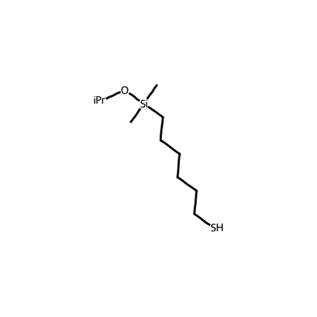 CC(C)O[Si](C)(C)CCCCCCS